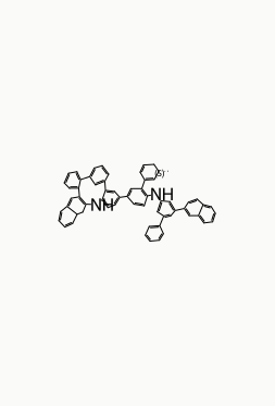 C[C@@H]1C=C(c2cc(-c3ccc4c(c3)-c3cccc(c3)-c3ccccc3C3=C(CC5C=CC=CC5=C3)N4)ccc2Nc2cc(-c3ccccc3)cc(-c3ccc4ccccc4c3)c2)C=CC1